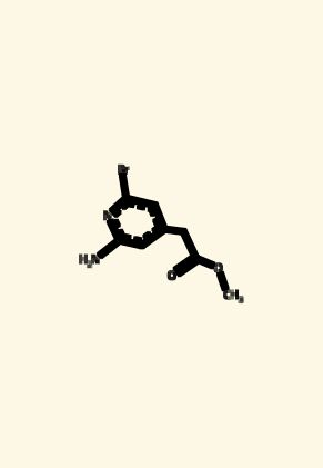 COC(=O)Cc1cc(N)nc(Br)c1